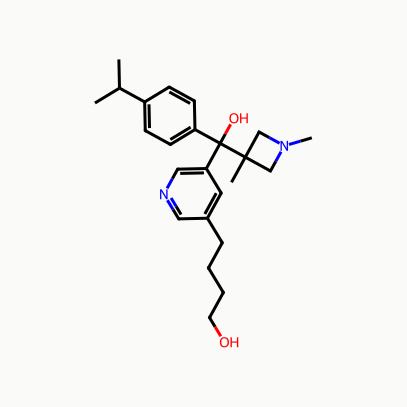 CC(C)c1ccc(C(O)(c2cncc(CCCCO)c2)C2(C)CN(C)C2)cc1